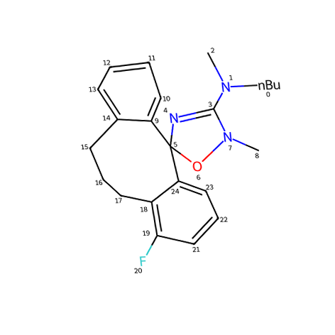 CCCCN(C)C1=NC2(ON1C)c1ccccc1CCCc1c(F)cccc12